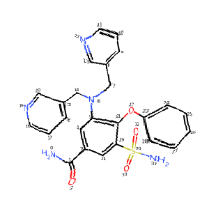 NC(=O)c1cc(N(Cc2cccnc2)Cc2cccnc2)c(Oc2ccccc2)c(S(N)(=O)=O)c1